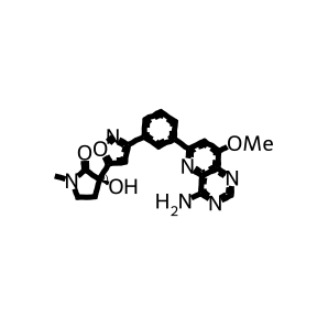 COc1cc(-c2cccc(-c3cc([C@]4(O)CCN(C)C4=O)on3)c2)nc2c(N)ncnc12